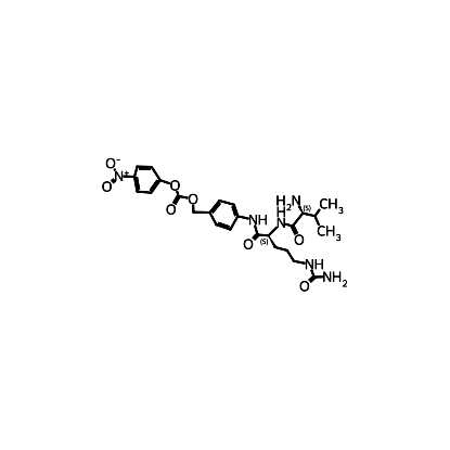 CC(C)[C@H](N)C(=O)N[C@@H](CCCNC(N)=O)C(=O)Nc1ccc(COC(=O)Oc2ccc([N+](=O)[O-])cc2)cc1